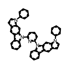 c1ccc(-n2ccc3cc4c5ccccc5n(-c5cccc(-n6c7ccccc7c7cc8ccn(-c9ccccc9)c8cc76)n5)c4cc32)cc1